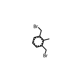 Cc1c(CBr)cccc1CBr